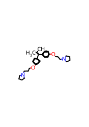 CC(C)=C(c1ccc(OCCCN2CCCC2)cc1)c1ccc(OCCCN2CCCC2)cc1